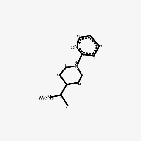 CNC(C)C1CCN(c2ccccn2)CC1